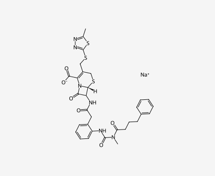 Cc1nnc(SCC2=C(C(=O)[O-])N3C(=O)C(NC(=O)Cc4ccccc4NC(=O)N(C)C(=O)CCCc4ccccc4)[C@H]3SC2)s1.[Na+]